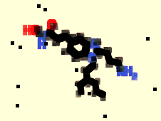 CCCC(CC)CCn1c(CCCN)nc2cc(/C=C/C(=O)NO)ccc21